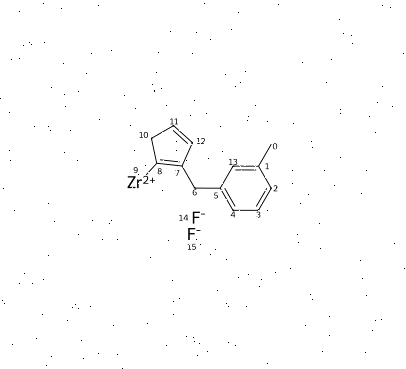 Cc1cccc(CC2=[C]([Zr+2])CC=C2)c1.[F-].[F-]